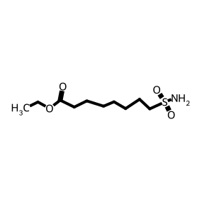 CCOC(=O)CCCCCCCS(N)(=O)=O